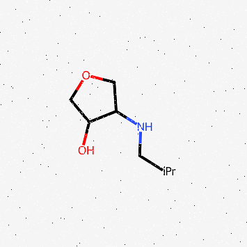 CC(C)CNC1COCC1O